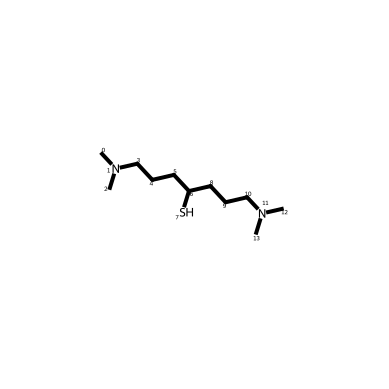 CN(C)CCCC(S)CCCN(C)C